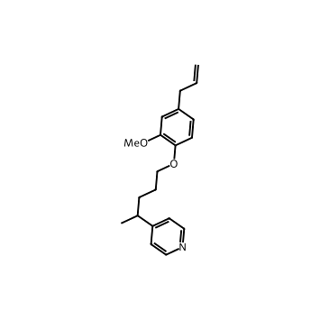 C=CCc1ccc(OCCCC(C)c2ccncc2)c(OC)c1